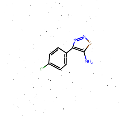 Nc1snnc1-c1ccc(F)cc1